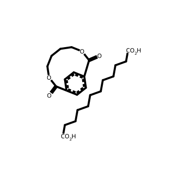 O=C(O)CCCCCCCCCCC(=O)O.O=C1OCCCCOC(=O)c2ccc1cc2